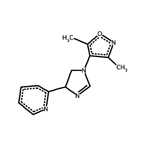 Cc1noc(C)c1N1C=NC(c2ccccn2)C1